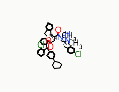 CN[C@H](Cc1ccc(Cl)cc1)CN(C)C(=O)[C@@H](CC(=O)OC(c1ccccc1)(c1ccc(C2CCCCC2)cc1)c1ccccc1Cl)[C@@H]1CCc2ccccc21